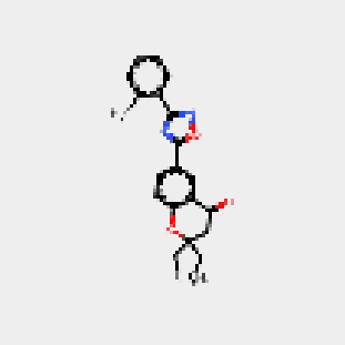 CCC1(CC)CC(=O)c2cc(-c3nc(-c4ccccc4C)no3)ccc2O1